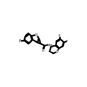 O=C(N[C@H]1CCOc2cc(F)c(F)cc21)C1C2Oc3ccc(F)cc3C21